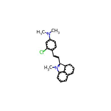 CN(C)c1ccc(/C=C/C2=[N+](C)c3cccc4cccc2c34)c(Cl)c1